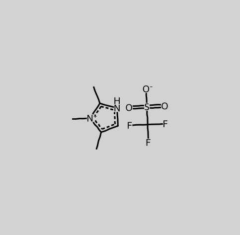 Cc1c[nH]c(C)[n+]1C.O=S(=O)([O-])C(F)(F)F